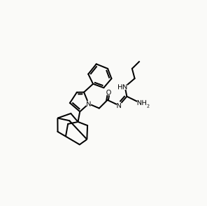 CCCN/C(N)=N\C(=O)Cn1c(-c2ccccc2)ccc1C12CC3CC(CC(C3)C1)C2